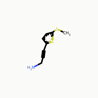 CSc1ccc(C#CCN)s1